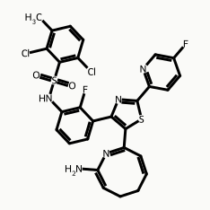 Cc1ccc(Cl)c(S(=O)(=O)Nc2cccc(-c3nc(-c4ccc(F)cn4)sc3C3=N/C(N)=C\CC/C=C\3)c2F)c1Cl